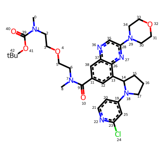 CN(CCOCCN(C)C(=O)c1cc(C2CCCN2c2ccnc(Cl)c2)c2nc(N3CCOCC3)cnc2c1)C(=O)OC(C)(C)C